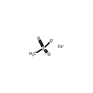 CS(=O)(=O)[O-].[Cs+]